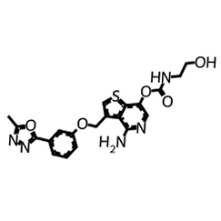 Cc1nnc(-c2cccc(OCc3csc4c(OC(=O)NCCO)cnc(N)c34)c2)o1